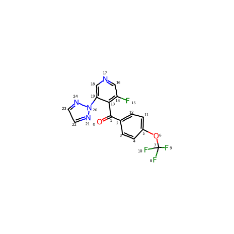 O=C(c1ccc(OC(F)(F)F)cc1)c1c(F)cncc1-n1nccn1